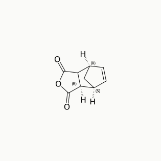 O=C1OC(=O)[C@H]2C1[C@H]1C=C[C@@H]2C1